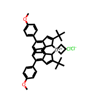 COc1ccc(-c2cccc3c2C=C(C(C)(C)C)[CH]3[Zr+2]2([CH]3C(C(C)(C)C)=Cc4c(-c5ccc(OC)cc5)cccc43)[CH2]C[CH2]2)cc1.[Cl-].[Cl-]